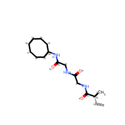 CN[C@@H](C)C(=O)NCC(=O)NCC(=O)NC1CCCCCCC1